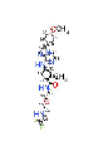 COc1ccc(-c2cnc3c(Nc4ccc(C(=O)NCCOCCNCC(F)F)c(C)c4)nccn23)cc1